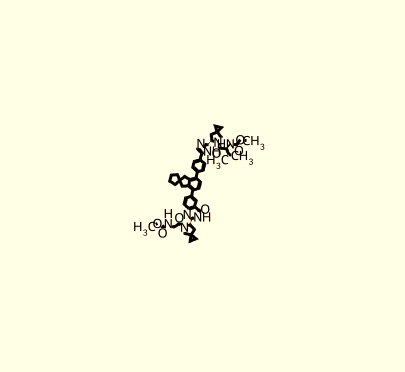 COC(=O)NCC(=O)N1CC2(CC2)C[C@H]1c1nc2ccc(-c3ccc(-c4ccc(-c5cnc([C@@H]6CC7(CC7)CN6C(=O)[C@@H](NC(=O)OC)C(C)C)[nH]5)cc4)c4c3CC3(CCCC3)C4)cc2c(=O)[nH]1